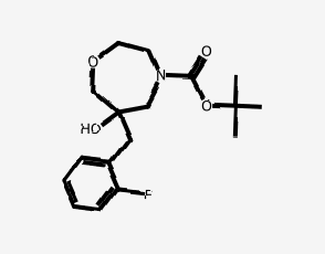 CC(C)(C)OC(=O)N1CCOCC(O)(Cc2ccccc2F)C1